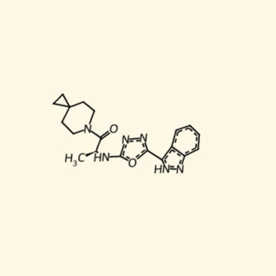 C[C@H](Nc1nnc(-c2[nH]nc3ccccc23)o1)C(=O)N1CCC2(CC1)CC2